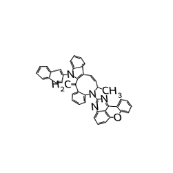 C=C1c2ccccc2N(c2nc3c4c(cccc4n2)Oc2ccccc2-3)C(C)/C=C\c2c1n(-c1ccc3ccccc3c1)c1ccccc21